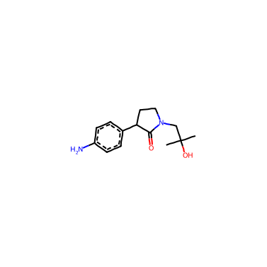 CC(C)(O)CN1CCC(c2ccc(N)cc2)C1=O